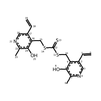 C=Cc1cnc(C)c(O)c1CSC(=S)SCc1c(C=C)cnc(C)c1O